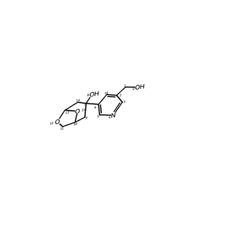 OCc1cncc(C2(O)CC3COC(C2)O3)c1